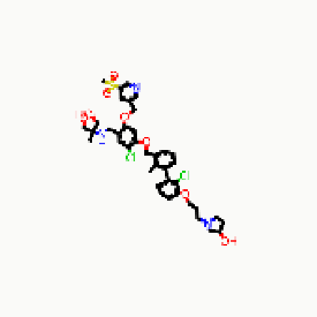 Cc1c(COc2cc(OCc3cncc(S(C)(=O)=O)c3)c(CNC(C)(CO)CO)cc2Cl)cccc1-c1cccc(OCCCN2CCC(O)C2)c1Cl